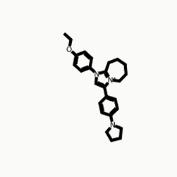 CCOc1ccc(-n2cc(-c3ccc(N4CCCC4)cc3)[n+]3c2CCCCC3)cc1